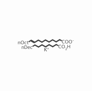 CCCCCCCCC=CCCCCCCCC(=O)[O-].CCCCCCCCCCCCCCCCCC(=O)O.[K+]